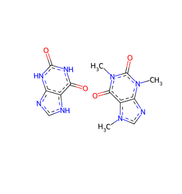 Cn1c(=O)c2c(ncn2C)n(C)c1=O.O=c1[nH]c(=O)c2[nH]cnc2[nH]1